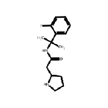 CC(C)(NC(=O)CC1CCCN1)c1ccccc1F